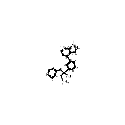 CC(CN)(Cc1ccncc1)c1cccc(-c2ccnc3[nH]ncc23)c1